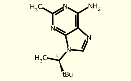 Cc1nc(N)c2ncn([C@H](C)C(C)(C)C)c2n1